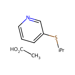 CC(=O)O.CC(C)Sc1cccnc1